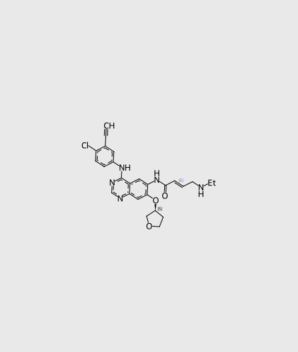 C#Cc1cc(Nc2ncnc3cc(O[C@H]4CCOC4)c(NC(=O)/C=C/CNCC)cc23)ccc1Cl